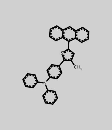 Cc1cc(-c2c3ccccc3cc3ccccc23)sc1-c1ccc(N(c2ccccc2)c2ccccc2)cc1